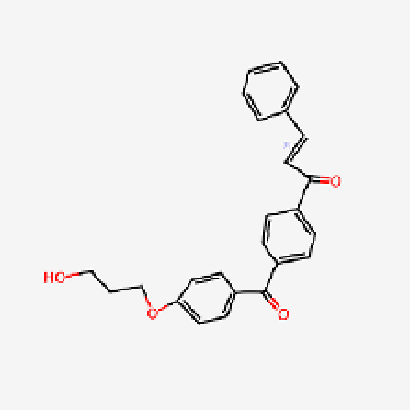 O=C(/C=C/c1ccccc1)c1ccc(C(=O)c2ccc(OCCCO)cc2)cc1